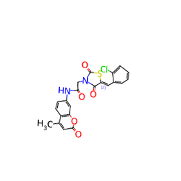 Cc1cc(=O)oc2cc(NC(=O)CN3C(=O)S/C(=C\c4ccccc4Cl)C3=O)ccc12